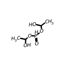 CC(O)O[PH](=O)OC(C)O